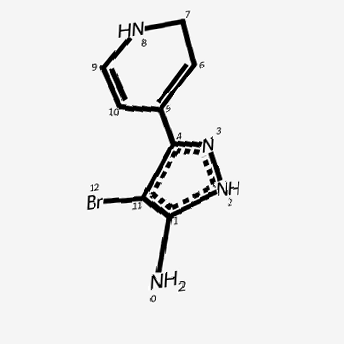 Nc1[nH]nc(C2=CCNC=C2)c1Br